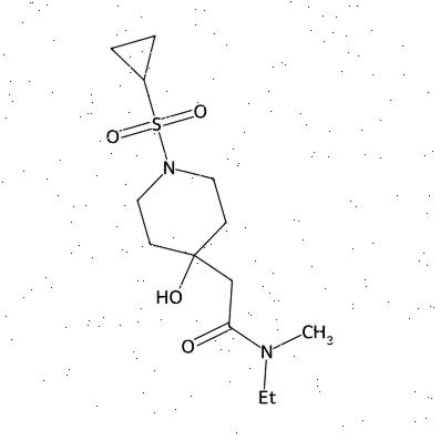 CCN(C)C(=O)CC1(O)CCN(S(=O)(=O)C2CC2)CC1